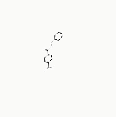 O=C(Cl)c1ccc(C(=O)OCc2ccccc2)cc1